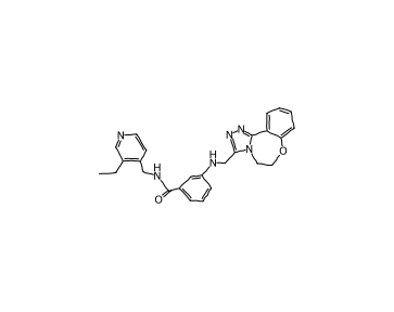 CCc1cnccc1CNC(=O)c1cccc(NCc2nnc3n2CCOc2ccccc2-3)c1